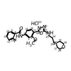 COc1cc(NC(=O)c2ccccc2F)ccc1-c1nnc(NCCCN2CCOCC2)o1.Cl